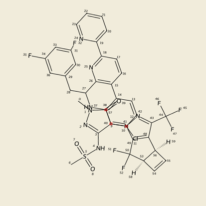 Cn1nc(NS(C)(=O)=O)c2c(Cl)ccc(-c3ccc(-c4ccccn4)nc3C(Cc3cc(F)cc(F)c3)NC(=O)Cn3nc(C(F)(F)F)c4c3C(F)(F)[C@@H]3C=C[C@H]43)c21